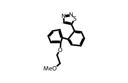 COCCOc1ccccc1-c1ccccc1-c1[c]nns1